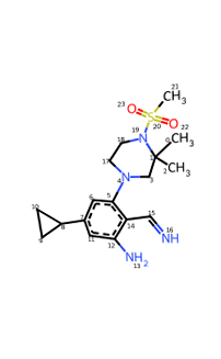 CC1(C)CN(c2cc(C3CC3)cc(N)c2C=N)CCN1S(C)(=O)=O